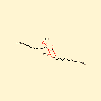 CCCCCCCCCCCCCCCCCC(OOC(C)(C)C)OC(=O)OC(CCCCCCCCCCCCCCCCC)OOC(C)(C)C